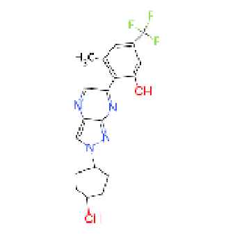 Cc1cc(C(F)(F)F)cc(O)c1-c1cnc2cn(C3CCC(O)CC3)nc2n1